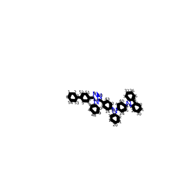 c1ccc(-c2ccc(-c3nnc(-c4ccc(N(c5ccccc5)c5ccc(-n6c7ccccc7c7ccccc76)cc5)cc4)n3-c3ccccc3)cc2)cc1